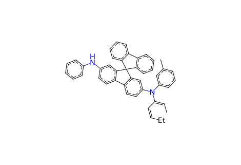 C/C=C(\C=C/CC)N(c1cccc(C)c1)c1ccc2c(c1)C1(c3ccccc3-c3ccccc31)c1cc(Nc3ccccc3)ccc1-2